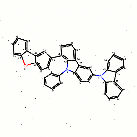 c1ccc(-n2c3ccc(-n4c5ccccc5c5ccccc54)cc3c3cccc(-c4ccc5oc6ccccc6c5c4)c32)cc1